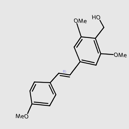 COc1ccc(/C=C/c2cc(OC)c(CO)c(OC)c2)cc1